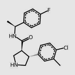 Cc1cc([C@@H]2CNC[C@H]2C(=O)N[C@@H](C)c2ccc(F)cc2)ccc1Cl